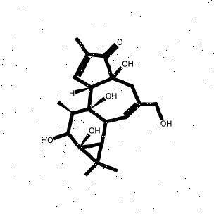 CC1=C[C@@H]2C(O)(CC(CO)=CC3C4C(C)(C)[C@]4(O)C(O)[C@@H](C)[C@@]32O)C1=O